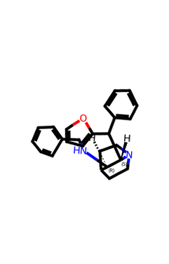 c1ccc(CN[C@@H]2C3CCN(CC3)[C@H]2C(c2ccccc2)c2ccco2)cc1